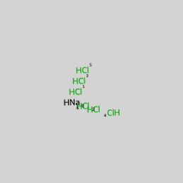 Cl.Cl.Cl.Cl.Cl.Cl.[NaH]